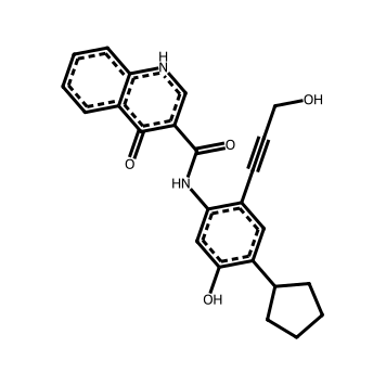 O=C(Nc1cc(O)c(C2CCCC2)cc1C#CCO)c1c[nH]c2ccccc2c1=O